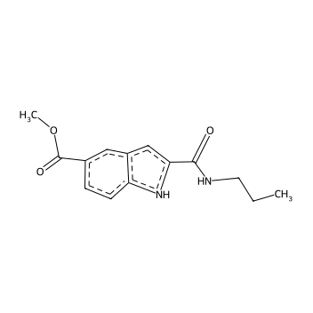 CCCNC(=O)c1cc2cc(C(=O)OC)ccc2[nH]1